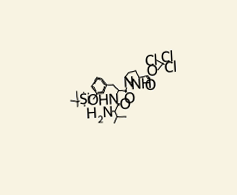 CC(C)C(N)C(=O)NC(Cc1cccc(O[Si](C)(C)C(C)(C)C)c1)C(=O)N1CCCC(C(=O)OCC(Cl)(Cl)Cl)N1